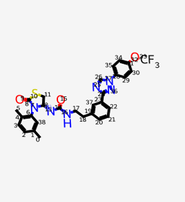 Cc1ccc(C)c(N2C(=O)SC/C2=N\C(=O)NCCc2cccc(-c3ncn(-c4ccc(OC(F)(F)F)cc4)n3)c2)c1